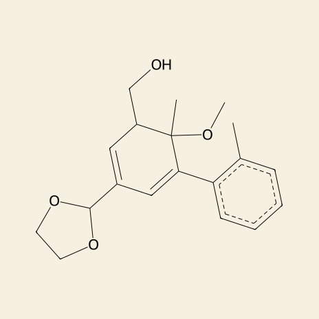 COC1(C)C(c2ccccc2C)=CC(C2OCCO2)=CC1CO